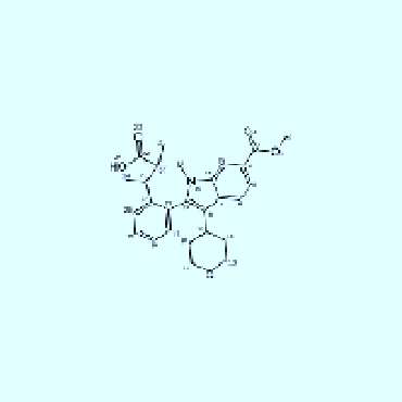 COC(=O)c1ccc2c(C3CCCCC3)c3n(c2c1)CC(C)(C(=O)O)C(C)c1ccccc1-3